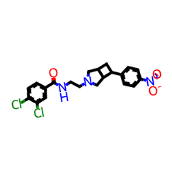 O=C(NCCN1CC2CC(c3ccc([N+](=O)[O-])cc3)C2C1)c1ccc(Cl)c(Cl)c1